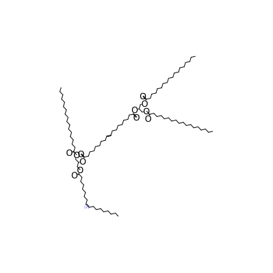 CCCCCCCC/C=C\CCCCCCCC(=O)OCC(COC(=O)CCCCCCCCCCCCCCCCC)OC(=O)CCCCCCCC=CCCCCCCCC(=O)OC(COC(=O)CCCCCCCCCCCCCCCCC)COC(=O)CCCCCCCCCCCCCCCCC